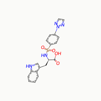 O=C(O)[C@@H](Cc1c[nH]c2ccccc12)NS(=O)(=O)c1ccc(-n2nccn2)cc1